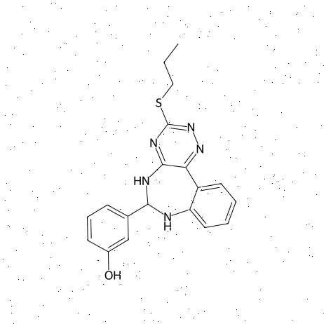 CCCSc1nnc2c(n1)NC(c1cccc(O)c1)Nc1ccccc1-2